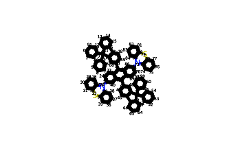 c1ccc(C2(c3ccccc3)c3ccccc3-c3ccc(-c4c5ccc(N6c7ccccc7Sc7ccccc76)cc5c(-c5ccc6c(c5)C(c5ccccc5)(c5ccccc5)c5ccccc5-6)c5ccc(N6c7ccccc7Sc7ccccc76)cc45)cc32)cc1